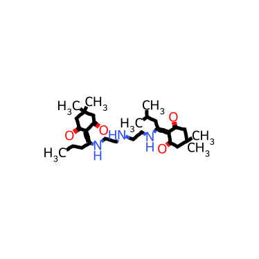 CCCC(NCCNCCNC(CC(C)C)=C1C(=O)CC(C)(C)CC1=O)=C1C(=O)CC(C)(C)CC1=O